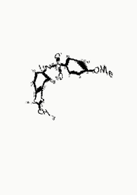 COc1ccc(S(=O)(=O)Nc2ccc3sc(C)nc3c2)cc1